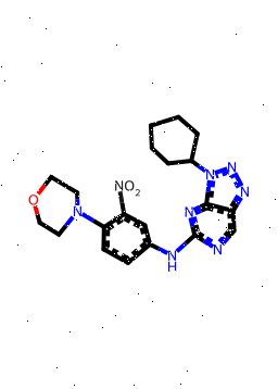 O=[N+]([O-])c1cc(Nc2ncc3nnn(C4CCCCC4)c3n2)ccc1N1CCOCC1